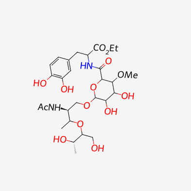 CCOC(=O)C(Cc1ccc(O)c(O)c1)NC(=O)C1OC(OC[C@H](NC(C)=O)C(C)OC(CO)[C@H](C)O)C(O)C(O)C1OC